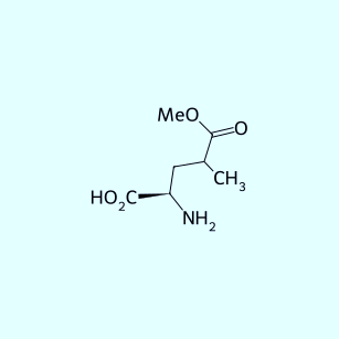 COC(=O)C(C)C[C@@H](N)C(=O)O